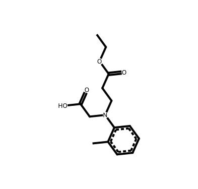 CCOC(=O)CCN(CC(=O)O)c1ccccc1C